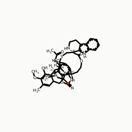 COC1=C(O)C2C(C=C1C)CC1(C#N)CN(C)[C@@H]2[C@@H]2[C@@H]3SC[C@]4(NCCc5c4[nH]c4ccccc54)C(=O)OCC[C@@H](c4c5c(c(C)c(OC(C)=O)c43)OCO5)N21